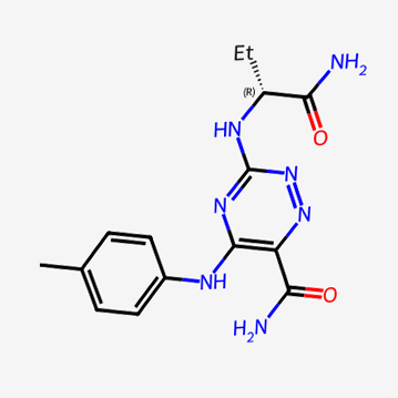 CC[C@@H](Nc1nnc(C(N)=O)c(Nc2ccc(C)cc2)n1)C(N)=O